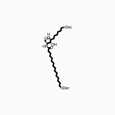 CCCCCCCCCCCCCCCCCCCCCCCCCC(=O)N[C@@H](CO)[C@H](O)[C@H](O)CCCCCCCCCCCCCCCC